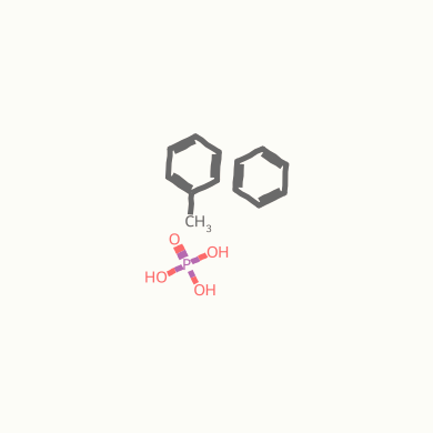 Cc1ccccc1.O=P(O)(O)O.c1ccccc1